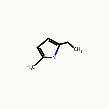 CCC1=CC=C(C)[N]1